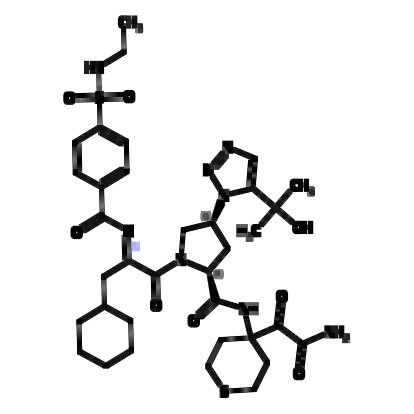 CCNS(=O)(=O)c1ccc(C(=O)/N=C(\CC2CCCCC2)C(=O)N2C[C@@H](n3nncc3C(C)(C)O)C[C@H]2C(=O)NC2(C(=O)C(N)=O)CCSCC2)cc1